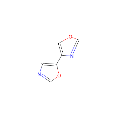 [c]1ncoc1-c1cocn1